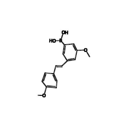 COc1ccc(C=Cc2cc(OC)cc(B(O)O)c2)cc1